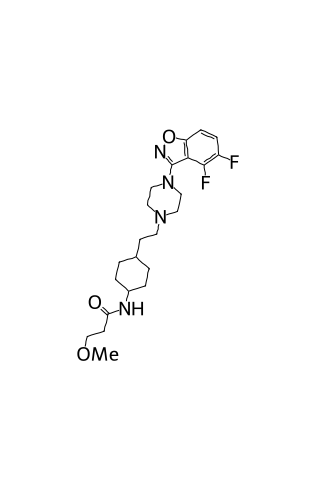 COCCC(=O)NC1CCC(CCN2CCN(c3noc4ccc(F)c(F)c34)CC2)CC1